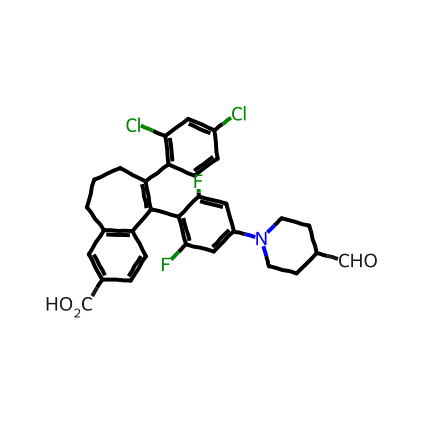 O=CC1CCN(c2cc(F)c(C3=C(c4ccc(Cl)cc4Cl)CCCc4cc(C(=O)O)ccc43)c(F)c2)CC1